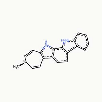 C[C@H]1C=Cc2[nH]c3c(ccc4c5ccccc5[nH]c43)c2C=C1